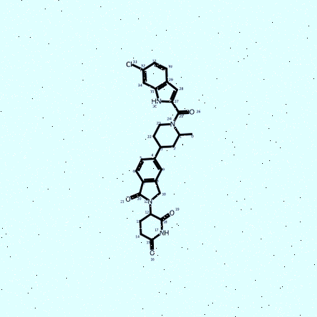 CC1CC(c2ccc3c(c2)CN(C2CCC(=O)NC2=O)C3=O)CCN1C(=O)c1cc2ccc(Cl)cc2[nH]1